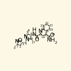 Cc1cc(Cn2nc(C)c(NC(=O)c3cc(C(N)=O)c4ccccc4n3)c2C)on1